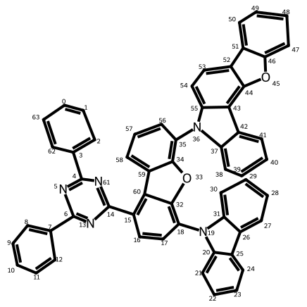 c1ccc(-c2nc(-c3ccccc3)nc(-c3ccc(-n4c5ccccc5c5ccccc54)c4oc5c(-n6c7ccccc7c7c8oc9ccccc9c8ccc76)cccc5c34)n2)cc1